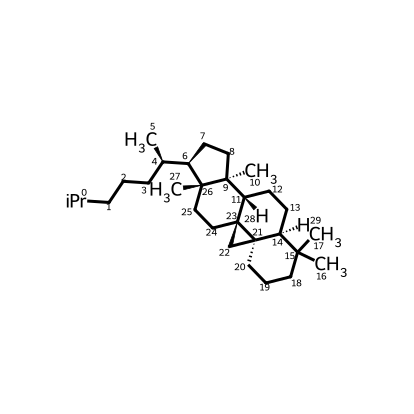 CC(C)CCC[C@@H](C)[C@H]1CC[C@@]2(C)[C@@H]3CC[C@H]4C(C)(C)CCC[C@@]45C[C@@]35CC[C@]12C